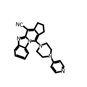 N#Cc1c2c(c(N3CCN(c4ccncc4)CC3)n3c1nc1ccccc13)CCC2